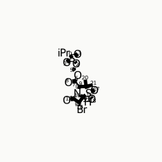 CC(C)S(=O)(=O)OCOC(=O)[C@@H]1N2C(=O)[C@H](Br)[C@H]2S(=O)(=O)C1(C)C